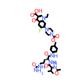 CCn1cc(C(=O)O)c(=O)c2cc(F)c(N3CCN(C(=O)OCc4ccc(NC(=O)[C@H](CCCNC(N)=O)NC(=O)[C@@H](NC(C)=O)C(C)C)cc4)CC3)cc21